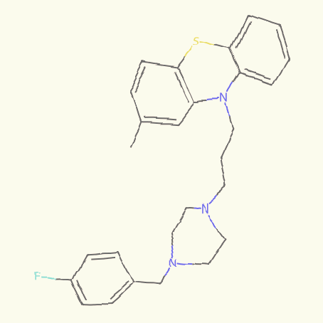 Cc1ccc2c(c1)N(CCCN1CCN(Cc3ccc(F)cc3)CC1)c1ccccc1S2